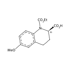 CCOC(=O)N1c2ccc(OC)cc2CC[C@@H]1C(=O)O